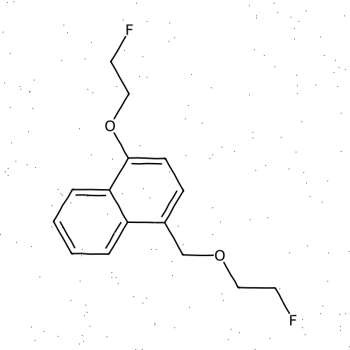 FCCOCc1ccc(OCCF)c2ccccc12